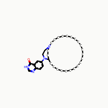 O=c1[nH]cnc2ccc(N3CCN4CCCCCCCCCCCCCCCCCCCCCC3CC4)cc12